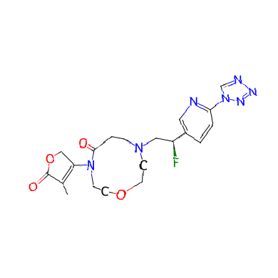 CC1=C(N2CCOCCN(C[C@H](F)c3ccc(-n4cnnn4)nc3)CCC2=O)COC1=O